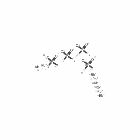 O=P([O-])([O-])F.O=P([O-])([O-])F.O=P([O-])([O-])F.O=P([O-])([O-])F.[Rb+].[Rb+].[Rb+].[Rb+].[Rb+].[Rb+].[Rb+].[Rb+]